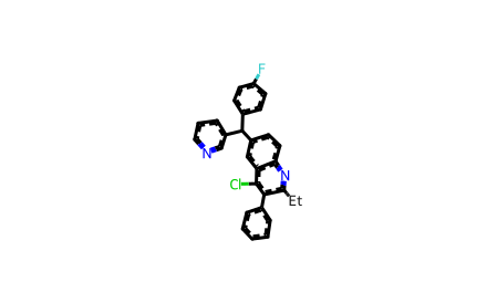 CCc1nc2ccc(C(c3ccc(F)cc3)c3cccnc3)cc2c(Cl)c1-c1ccccc1